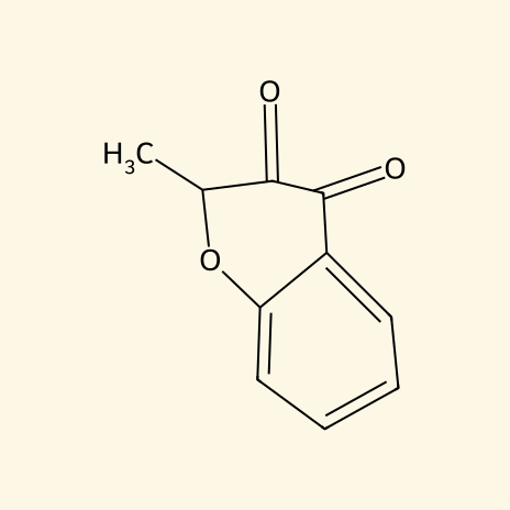 CC1Oc2ccccc2C(=O)C1=O